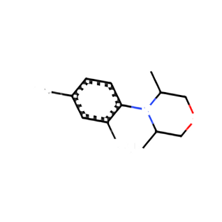 CC1COCC(C)N1c1ccc([N+](=O)[O-])cc1C(=O)O